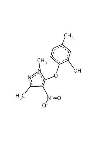 Cc1ccc(Oc2c([N+](=O)[O-])c(C)nn2C)c(O)c1